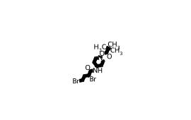 CC(C)(C)C(=O)ON1CCC(NC(=O)C(Br)CCBr)CC1